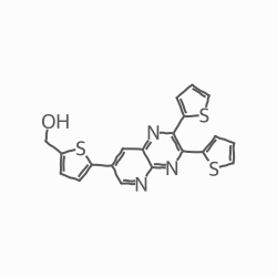 OCc1ccc(-c2cnc3nc(-c4cccs4)c(-c4cccs4)nc3c2)s1